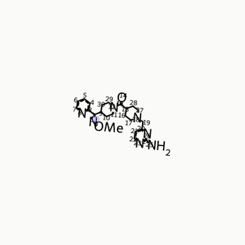 CO/N=C(/c1ccccn1)C1CCN(C(=O)C2CCN(Cc3ccnc(N)n3)CC2)CC1